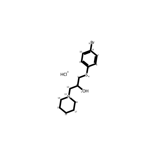 Cl.OC(CSc1ccc(Br)cc1)CN1CCCCC1